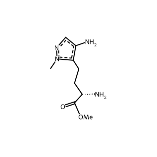 COC(=O)[C@@H](N)CCc1c(N)cnn1C